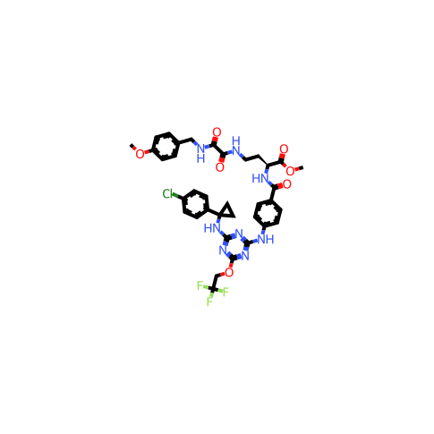 COC(=O)[C@H](CCNC(=O)C(=O)NCc1ccc(OC)cc1)NC(=O)c1ccc(Nc2nc(NC3(c4ccc(Cl)cc4)CC3)nc(OCC(F)(F)F)n2)cc1